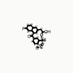 CS(=O)(=O)c1ccc(C(=O)c2cc(CC(=O)O)cc3ccc(F)cc23)cc1C(F)(F)F